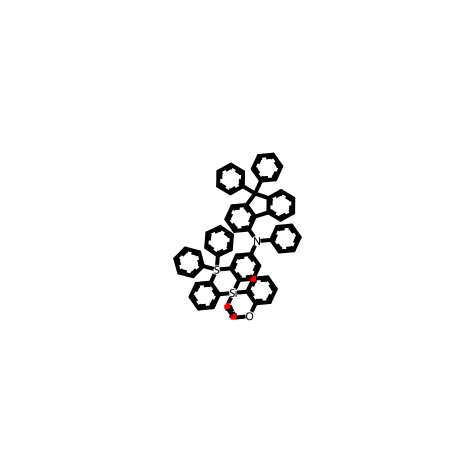 c1ccc(N(c2ccc3c(c2)S(c2ccccc2)(c2ccccc2)c2ccccc2[Si]32c3ccccc3Oc3ccccc32)c2cccc3c2-c2ccccc2C3(c2ccccc2)c2ccccc2)cc1